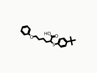 CC(C)(C)c1ccc(SC(CCCCOc2ccccc2)C(=O)O)cc1